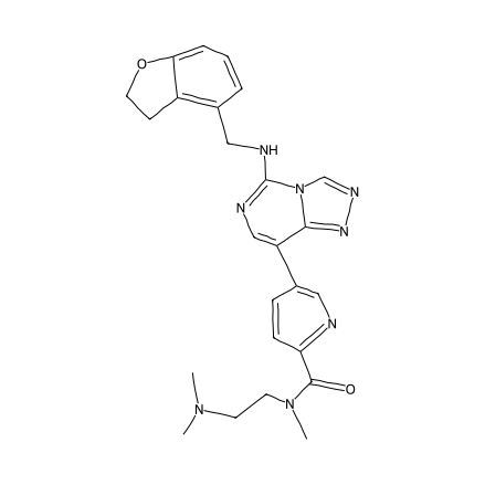 CN(C)CCN(C)C(=O)c1ccc(-c2cnc(NCc3cccc4c3CCO4)n3cnnc23)cn1